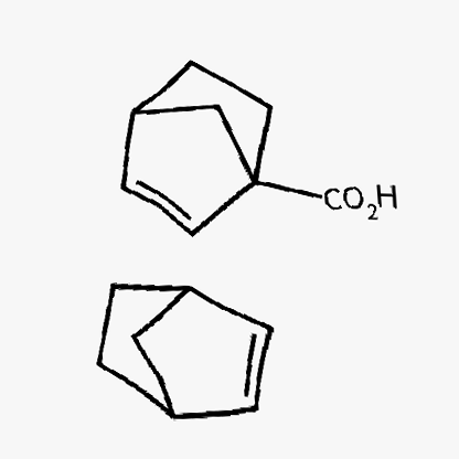 C1=CC2CCC1C2.O=C(O)C12C=CC(CC1)C2